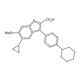 COc1cc2sc(C(=O)O)c(-c3ccc(C4CCCCC4)cc3)c2cc1C1CC1